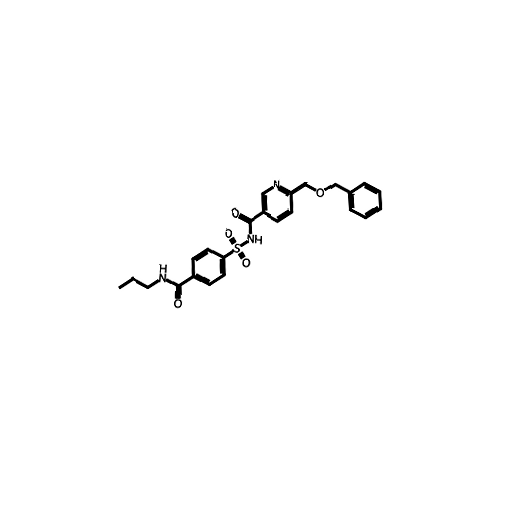 CCCNC(=O)c1ccc(S(=O)(=O)NC(=O)c2ccc(COCc3ccccc3)nc2)cc1